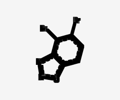 Brc1ccc2onnc2c1Br